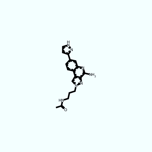 CC(=O)NCCCn1cc2c(n1)c(N)nc1cc(-c3cc[nH]n3)ccc12